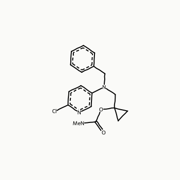 CNC(=O)OC1(CN(Cc2ccccc2)c2ccc(Cl)nc2)CC1